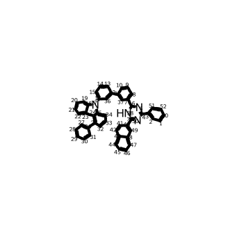 c1ccc(C2=NC(c3cccc(-c4cccc(-n5c6ccccc6c6c(-c7ccccc7)cccc65)c4)c3)NC(c3ccc4ccccc4c3)=N2)cc1